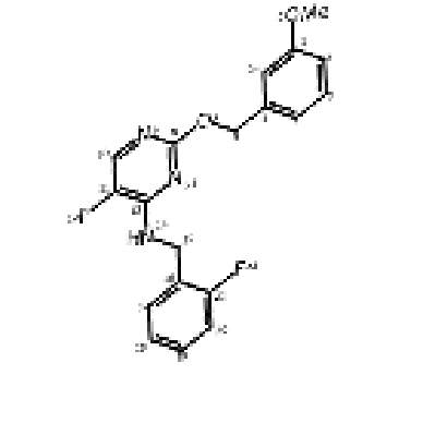 COc1cccc(COc2ncc(F)c(NCc3ccccc3F)n2)c1